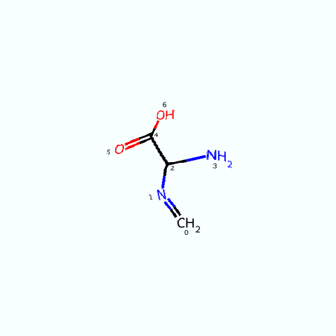 C=NC(N)C(=O)O